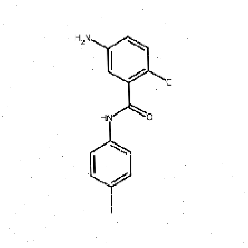 Nc1ccc(Cl)c(C(=O)Nc2ccc(I)cc2)c1